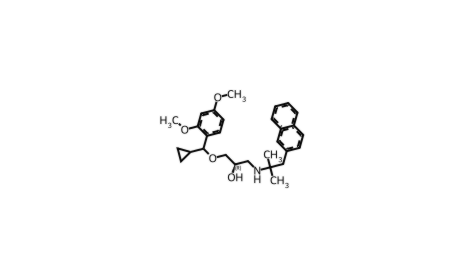 COc1ccc(C(OC[C@H](O)CNC(C)(C)Cc2ccc3ccccc3c2)C2CC2)c(OC)c1